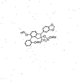 CCCOc1ccc2c(c1-c1ccccc1OC)CC(OCOC)(C(=O)O)C2c1ccc2c(c1)OCO2